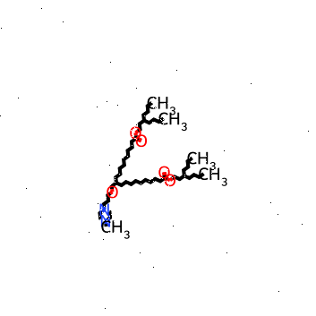 CCCCC(CCCC)CCOC(=O)CCCCCCCCCC(CCCCCCCCCC(=O)OCCC(CCCC)CCCC)COCCCN1CCN(C)CC1